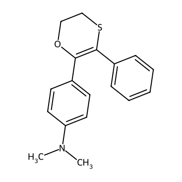 CN(C)c1ccc(C2=C(c3ccccc3)SCCO2)cc1